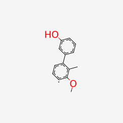 COc1[c]ccc(-c2cccc(O)c2)c1C